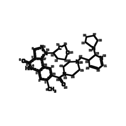 Cc1cc2[nH]c(=O)c3cnn(C4CCOCC4)c3c2cc1C(=O)N1CCN(CC2C=CC=NC2N2CCCC2)CC1